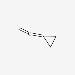 C=C=C1CC1